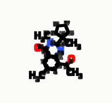 CC(=O)c1cc(C)cc2c(=O)n(C)c(C3(C)CCCC3)nc12